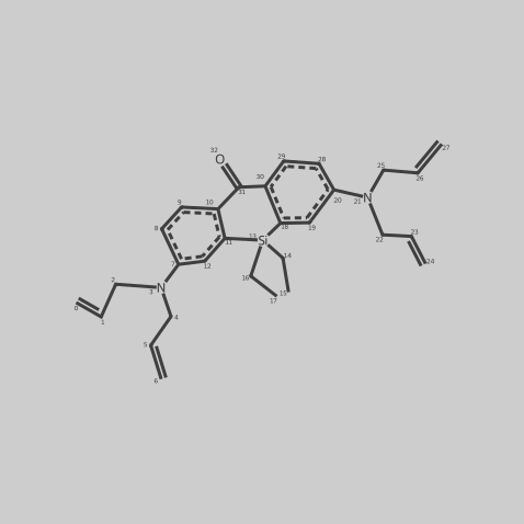 C=CCN(CC=C)c1ccc2c(c1)[Si](CC)(CC)c1cc(N(CC=C)CC=C)ccc1C2=O